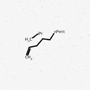 C=CCCCCCCCC.CC(C)C